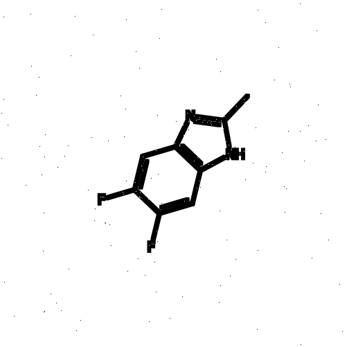 Cc1nc2cc(F)c(F)cc2[nH]1